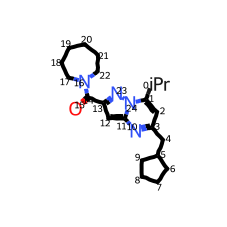 CC(C)c1cc(CC2CCCC2)nc2cc(C(=O)N3CCCCCC3)nn12